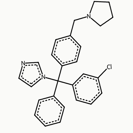 Clc1cccc(C(c2ccccc2)(c2ccc(CN3CCCC3)cc2)n2ccnc2)c1